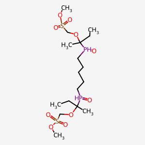 CCC(C)(OCS(=O)(=O)OC)[PH](=O)CCCCC[PH](=O)C(C)(CC)OCS(=O)(=O)OC